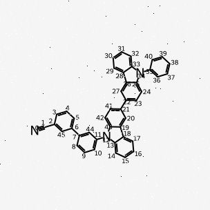 N#Cc1cccc(-c2cccc(-n3c4ccccc4c4cc(-c5ccc6c(c5)c5ccccc5n6-c5ccccc5)ccc43)c2)c1